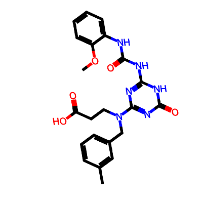 COc1ccccc1NC(=O)Nc1nc(N(CCC(=O)O)Cc2cccc(C)c2)nc(=O)[nH]1